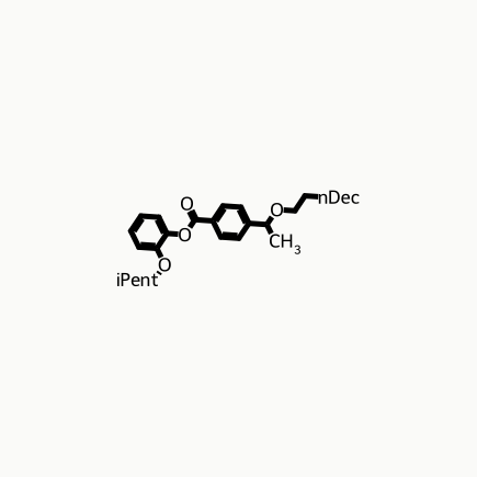 CCCCCCCCCCCCOC(C)c1ccc(C(=O)Oc2ccccc2OC(C)CCC)cc1